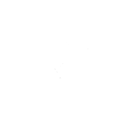 Cc1cc(=O)oc2cc(OC3O[C@H](CO)[C@@H](O)[C@@H]3O)ccc12